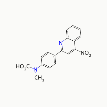 CN(C(=O)O)c1ccc(-c2cc([N+](=O)[O-])c3ccccc3n2)cc1